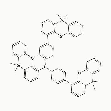 CC1(C)c2ccccc2Oc2c(-c3ccc(N(c4ccc(-c5cccc6c5Sc5ccccc5C6(C)C)cc4)c4cccc5c4Oc4ccccc4[Si]5(C)C)cc3)cccc21